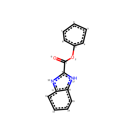 O=C(Oc1ccccc1)c1nc2ccccc2[nH]1